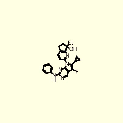 CCC1(O)CCc2ccc(-n3c(C4CC4)c(F)c4cnc(Nc5ccccc5)nc43)nc21